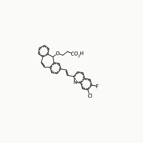 O=C(O)CCOC1c2ccccc2C=Cc2ccc(C=Cc3ccc4cc(F)c(Cl)cc4n3)cc21